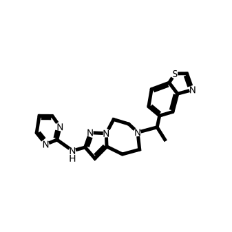 CC(c1ccc2scnc2c1)N1CCc2cc(Nc3ncccn3)nn2CC1